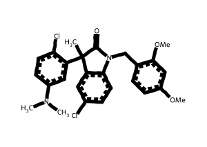 COc1ccc(CN2C(=O)C(C)(c3cc(N(C)C)ccc3Cl)c3cc(Cl)ccc32)c(OC)c1